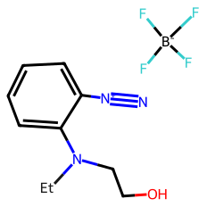 CCN(CCO)c1ccccc1[N+]#N.F[B-](F)(F)F